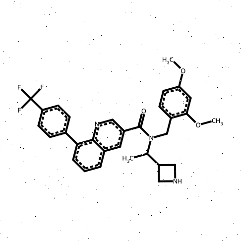 COc1ccc(CN(C(=O)c2cnc3c(-c4ccc(C(F)(F)F)cc4)cccc3c2)C(C)C2CNC2)c(OC)c1